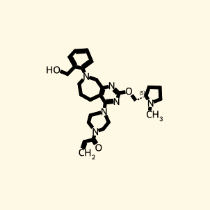 C=CC(=O)N1CCN(c2nc(OC[C@@H]3CCCN3C)nc3c2CCCN(c2ccccc2CO)C3)CC1